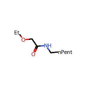 CCCCCCNC(=O)COCC